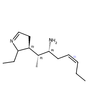 CC/C=C\C[C@@H](N)[C@H](C)[C@@H]1CC=NC1CC